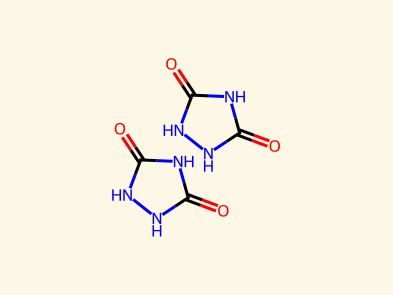 O=c1[nH][nH]c(=O)[nH]1.O=c1[nH][nH]c(=O)[nH]1